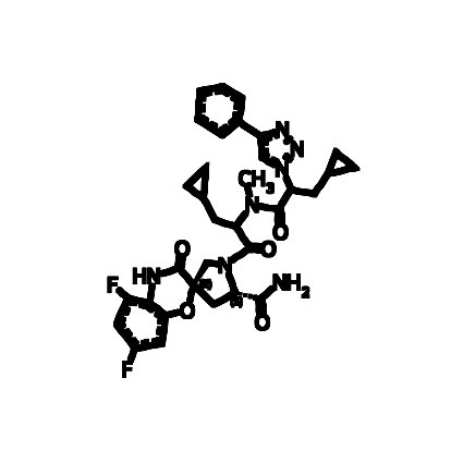 CN(C(=O)C(CC1CC1)n1cc(-c2ccccc2)nn1)C(CC1CC1)C(=O)N1C[C@@]2(C[C@H]1C(N)=O)Oc1cc(F)cc(F)c1NC2=O